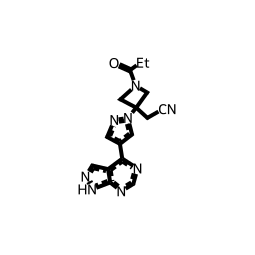 CCC(=O)N1CC(CC#N)(n2cc(-c3ncnc4[nH]ncc34)cn2)C1